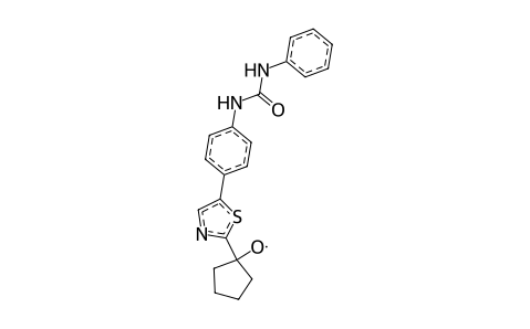 [O]C1(c2ncc(-c3ccc(NC(=O)Nc4ccccc4)cc3)s2)CCCC1